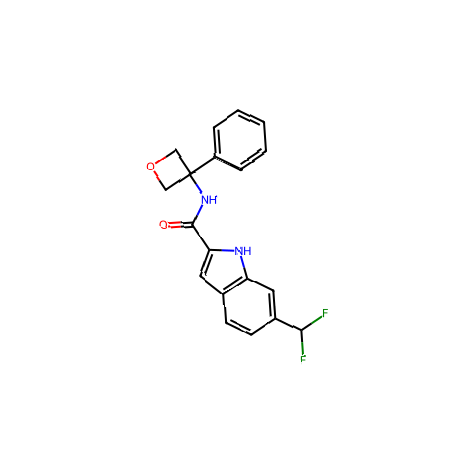 O=C(NC1(c2ccccc2)COC1)c1cc2ccc(C(F)F)cc2[nH]1